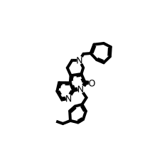 CCC1C=CC=C(Cn2c(=O)c3c(c4cccnc42)CCN(CC2=CCC=CC=C2)C3)C=C1